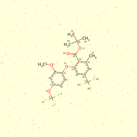 COc1cc(OC(F)(F)F)ccc1Oc1cc(C(F)(F)F)cc(C)c1C(=O)OC(C)(C)C